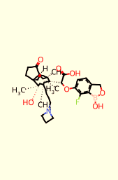 C[C@@H]1CC[C@@]23CCC(=O)[C@H]2[C@@]1(C)[C@H](C(Oc1ccc2c(c1F)B(O)OC2)C(=O)O)C[C@@](C)(CN1CCC1)[C@@H](O)[C@@H]3C